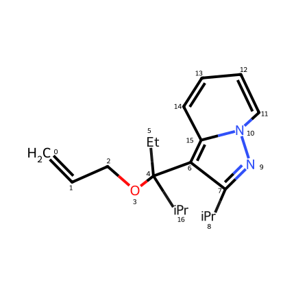 C=CCOC(CC)(c1c(C(C)C)nn2ccccc12)C(C)C